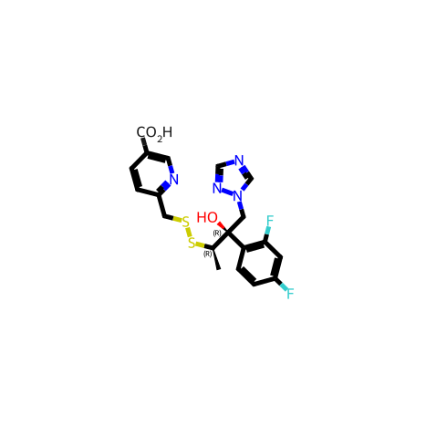 C[C@@H](SSCc1ccc(C(=O)O)cn1)[C@](O)(Cn1cncn1)c1ccc(F)cc1F